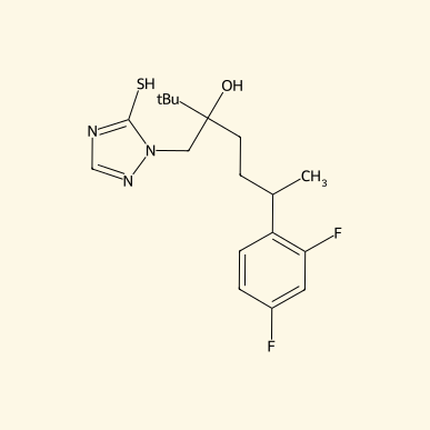 CC(CCC(O)(Cn1ncnc1S)C(C)(C)C)c1ccc(F)cc1F